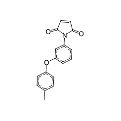 Cc1ccc(Oc2cccc(N3C(=O)C=CC3=O)c2)cc1